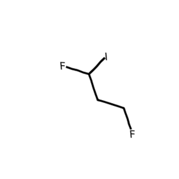 FCCC(F)I